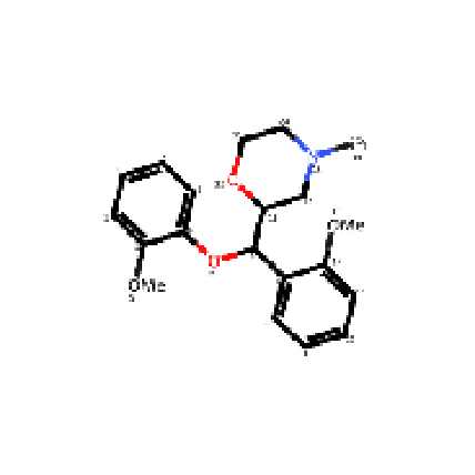 COc1ccccc1OC(c1ccccc1OC)C1CN(C(C)C)CCO1